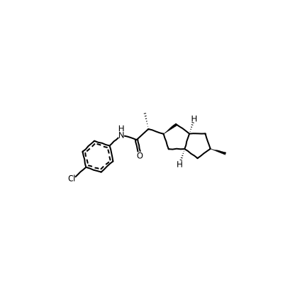 C[C@@H]1C[C@@H]2C[C@H]([C@@H](C)C(=O)Nc3ccc(Cl)cc3)C[C@@H]2C1